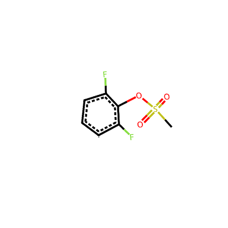 CS(=O)(=O)Oc1c(F)[c]ccc1F